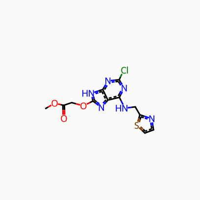 COC(=O)COc1nc2c(NCc3nccs3)nc(Cl)nc2[nH]1